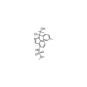 CCC(c1ccc(C)cc1)(n1ncc2c(NS(=O)(=O)N(C)C)cccc21)C(C)(C)O